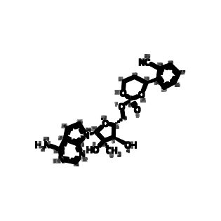 C[C@@]1(O)[C@H](O)[C@@H](CO[P@@]2(=O)OCC[C@@H](c3ccccc3C#N)O2)O[C@H]1n1ccc2c(N)ncnc21